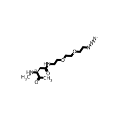 CN[C@@H](CC(=O)NCCOCCOCCN=[N+]=[N-])C(C)=O